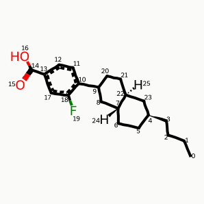 CCCC[C@H]1CC[C@@H]2CC(c3ccc(C(=O)O)cc3F)CC[C@H]2C1